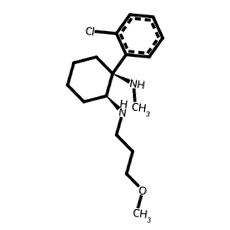 CN[C@]1(c2ccccc2Cl)CCCC[C@@H]1NCCCOC